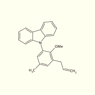 C=CCc1cc(C)cc(-n2c3ccccc3c3ccccc32)c1OC